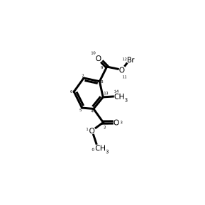 COC(=O)c1cccc(C(=O)OBr)c1C